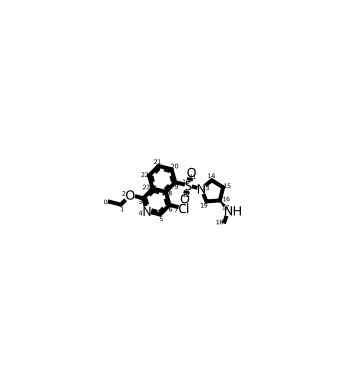 CCOc1ncc(Cl)c2c(S(=O)(=O)N3CC[C@@H](NC)C3)cccc12